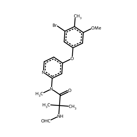 COc1cc(Oc2ccnc(N(C)C(=O)C(C)(C)NC=O)c2)cc(Br)c1C